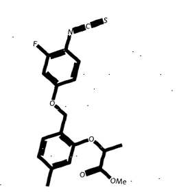 COC(=O)C(C)Oc1cc(C)ccc1COc1ccc(N=C=S)c(F)c1